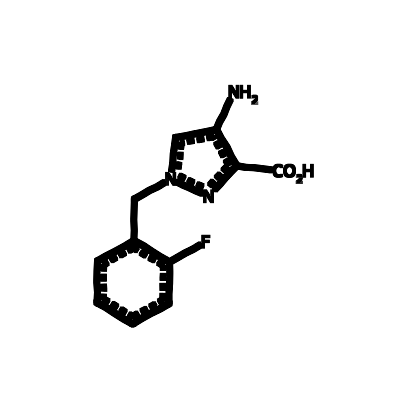 Nc1cn(Cc2ccccc2F)nc1C(=O)O